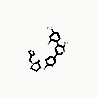 Nc1ccc(-c2cc(-c3ccc(O[C@@H]4CCN(CC5COC5)C4=O)cc3)cnc2N)c(F)c1